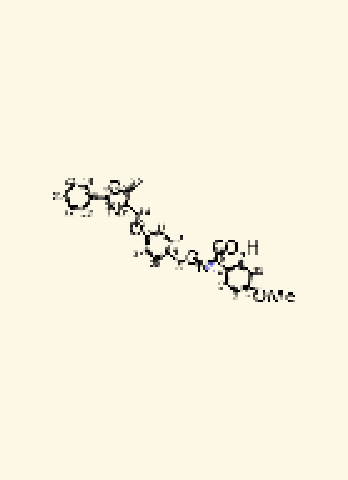 COc1ccc(/C(=N/OCc2ccc(OCc3nc(-c4ccccc4)oc3C)cc2)C(=O)O)cc1